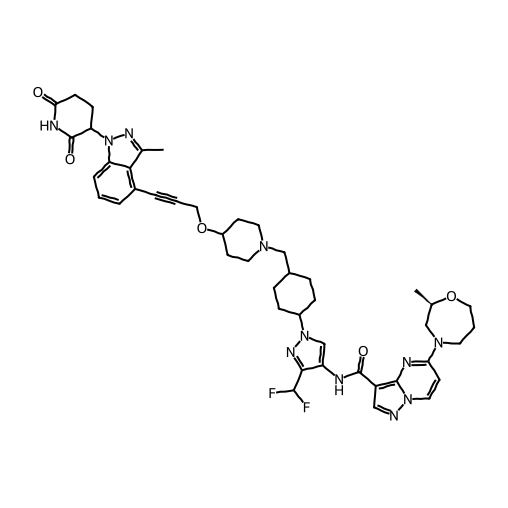 Cc1nn(C2CCC(=O)NC2=O)c2cccc(C#CCOC3CCN(CC4CCC(n5cc(NC(=O)c6cnn7ccc(N8CCCO[C@H](C)C8)nc67)c(C(F)F)n5)CC4)CC3)c12